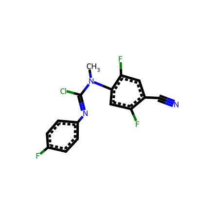 CN(/C(Cl)=N/c1ccc(F)cc1)c1cc(F)c(C#N)cc1F